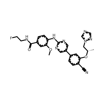 COc1cc(C(=O)NCCF)ccc1Nc1ncc(-c2ccc(C#N)c(O[C@@H](C)Cn3cncn3)c2)cn1